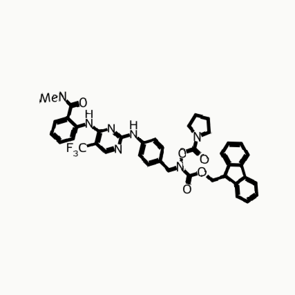 CNC(=O)c1ccccc1Nc1nc(Nc2ccc(CN(OC(=O)N3CCCC3)C(=O)OCC3c4ccccc4-c4ccccc43)cc2)ncc1C(F)(F)F